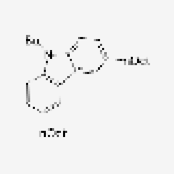 CCCCCCCCc1ccc2c(c1)c1cc(CCCCCCCC)ccc1n2C(C)CC